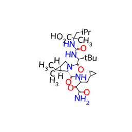 CC(C)CC(C)(NC(=O)N[C@H](C(=O)N1C[C@H]2[C@@H]([C@H]1C(=O)NC(CC1CC1)C(=O)C(N)=O)C2(C)C)C(C)(C)C)C(=O)O